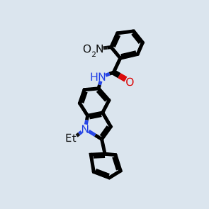 CCn1c(-c2ccccc2)cc2cc(NC(=O)c3ccccc3[N+](=O)[O-])ccc21